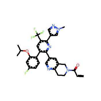 C=CC(=O)N1CCc2ncc(-c3nc(-c4cnn(C)c4)c(C(F)(F)F)cc3-c3ccc(F)cc3OC(C)C)cc2C1